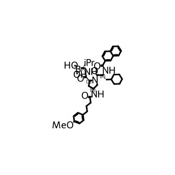 COc1ccc(CCCC(=O)N[C@@H]2C[C@@H](C(=O)N[C@H](B(O)O)C(C)C)N(C(=O)[C@@H](CC3CCCCC3)NC(=O)c3ccc4ccccc4c3)C2)cc1